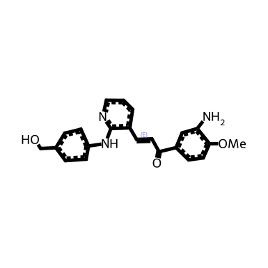 COc1ccc(C(=O)/C=C/c2cccnc2Nc2ccc(CO)cc2)cc1N